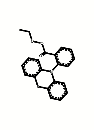 CCOOC(=O)c1ccccc1N1c2ccccc2Sc2ccccc21